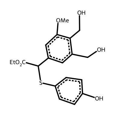 CCOC(=O)C(Sc1ccc(O)cc1)c1cc(CO)c(CO)c(OC)c1